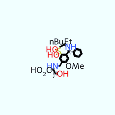 CCCC[C@]1(CC)CS(O)(O)c2cc(CN[C@H](C(=O)O)[C@@H](C)O)c(OC)cc2[C@@H](c2ccccc2)N1